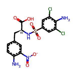 Nc1ccc(C[C@H](NS(=O)(=O)c2cc(Cl)c(N)c(Cl)c2)C(=O)O)cc1[N+](=O)[O-]